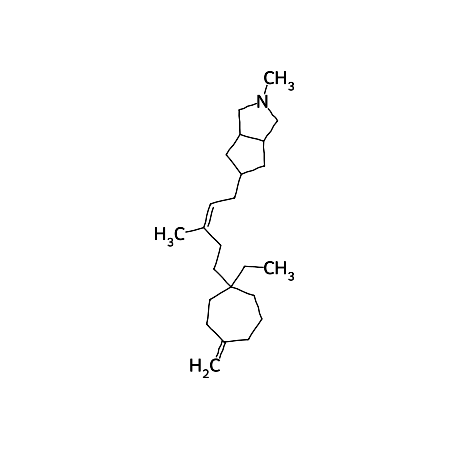 C=C1CCCC(CC)(CC/C(C)=C\CC2CC3CN(C)CC3C2)CC1